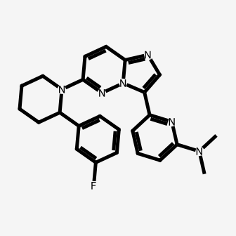 CN(C)c1cccc(-c2cnc3ccc(N4CCCCC4c4cccc(F)c4)nn23)n1